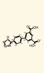 O=C(O)c1cc(C(=O)O)cc(-c2ccc(-c3nnn[nH]3)cc2)c1